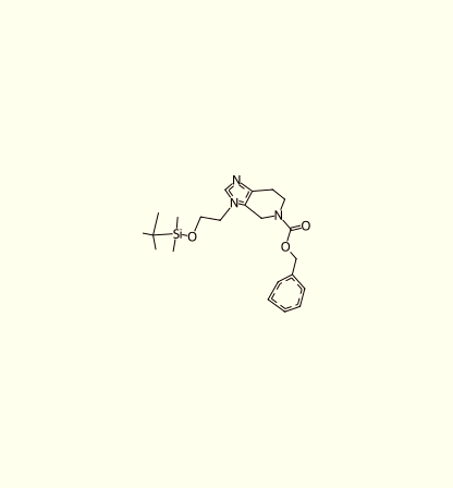 CC(C)(C)[Si](C)(C)OCCn1cnc2c1CN(C(=O)OCc1ccccc1)CC2